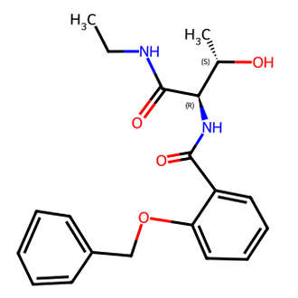 CCNC(=O)[C@H](NC(=O)c1ccccc1OCc1ccccc1)[C@H](C)O